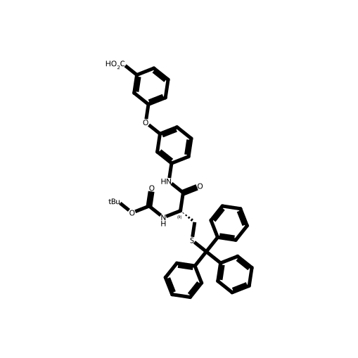 CC(C)(C)OC(=O)N[C@@H](CSC(c1ccccc1)(c1ccccc1)c1ccccc1)C(=O)Nc1cccc(Oc2cccc(C(=O)O)c2)c1